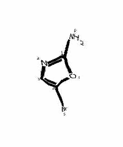 Nc1ncc(Br)o1